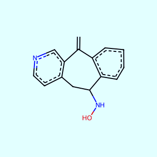 C=C1c2cnccc2CC(NO)c2ccccc21